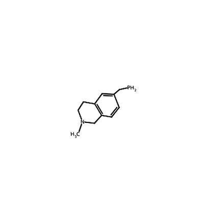 CN1CCc2cc(CP)ccc2C1